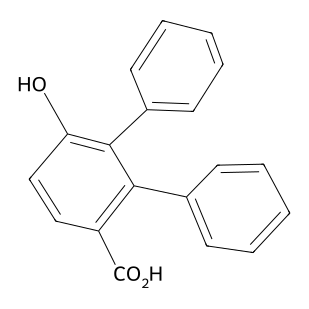 O=C(O)c1ccc(O)c(-c2ccccc2)c1-c1ccccc1